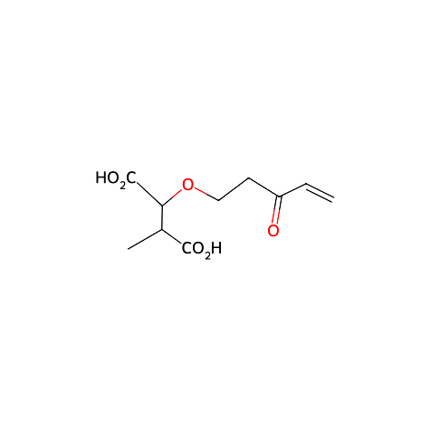 C=CC(=O)CCOC(C(=O)O)C(C)C(=O)O